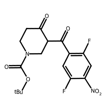 CC(C)(C)OC(=O)N1CCC(=O)C(C(=O)c2cc(F)c([N+](=O)[O-])cc2F)C1